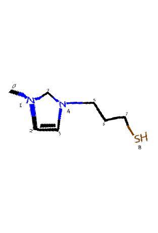 CN1C=CN(CCCS)C1